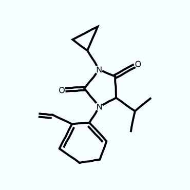 C=CC1=CCCC=C1N1C(=O)N(C2CC2)C(=O)C1C(C)C